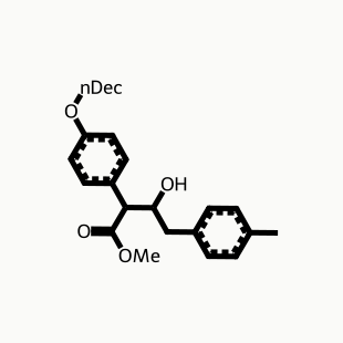 CCCCCCCCCCOc1ccc(C(C(=O)OC)C(O)Cc2ccc(C)cc2)cc1